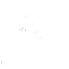 O=S(=O)(Nc1cc(O)ccc1Oc1ccccc1)c1ccccc1